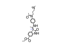 CCOC(=O)c1ccc2c(c1)NC(=O)/C2=C(/C)Nc1ccc(N(CCCN(C)C)C(C)=O)cc1